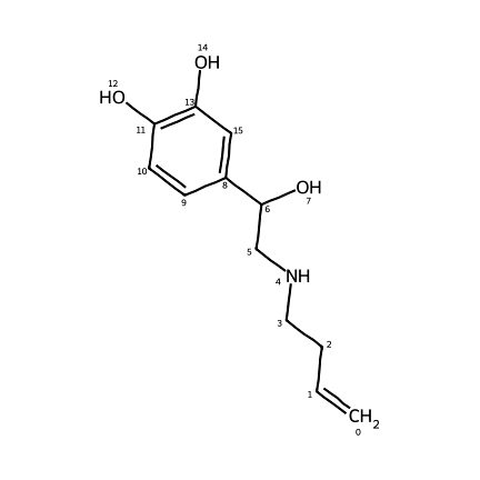 C=CCCNCC(O)c1ccc(O)c(O)c1